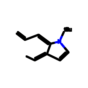 C=C/C=c1\c(=C/C)ccn1C(C)(C)C